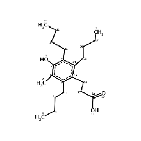 CCCCc1c(C)c(O)c(CCCC)c(CCCC)c1CCC(=O)O